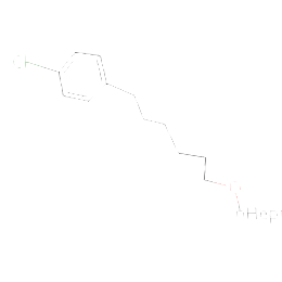 [CH2]CCCCCCOCCCCCCc1ccc(Cl)cc1